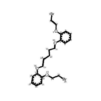 BrCCOc1ccccc1OCCCCCOc1ccccc1OCCBr